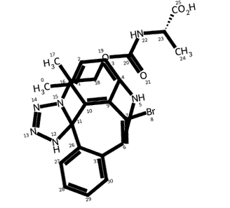 Cc1ccc2[nH]c3c(Br)c2c1C1(NN=NN1C(C)COC(=O)N[C@@H](C)C(=O)O)c1ccccc1-3